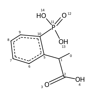 CC(C(=O)O)c1ccccc1P(=O)(O)O